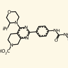 CCNC(=O)Nc1ccc(-c2nc3c(c(N4CCOCC4C(C)C)n2)CCN(C(=O)O)C3)cc1